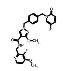 COc1ccnc(CNC(=O)c2cn(Cc3ccc(Cn4cc(F)ccc4=O)cc3)nc2OC)c1F